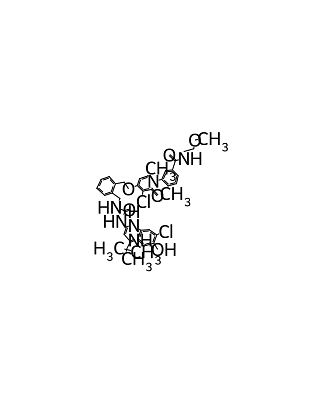 COCCNC(=O)c1ccc(C)c(-n2c(C)cc(OCc3ccccc3CNC(=O)N/C(=C/C(=N)C(C)(C)C)Nc3ccc(O)c(Cl)c3)c(Cl)c2=O)c1